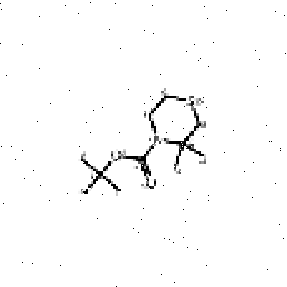 CC(C)(C)OC(=O)N1CCSCC1(C)C